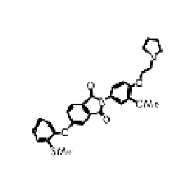 COc1cc(N2C(=O)c3ccc(Oc4ccccc4SC)cc3C2=O)ccc1OCCN1CCCC1